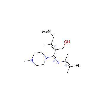 CC/C(C)=C(C)/N=C(\C(CO)=C(/C)CNC)N1CCN(C)CC1